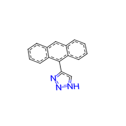 c1ccc2c(-c3c[nH]nn3)c3ccccc3cc2c1